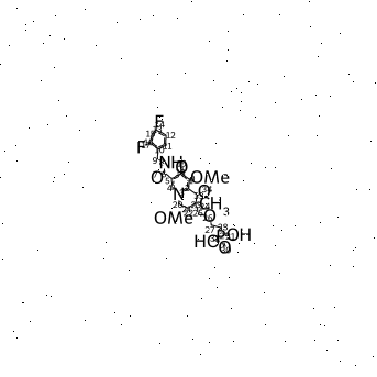 COc1c2n(cc(C(=O)NCc3ccc(F)cc3F)c1=O)CC(OC)C(C)(COCCP(=O)(O)O)C2=O